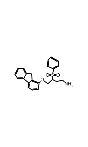 NCCC(COc1cccc2c1Cc1ccccc1-2)S(=O)(=O)c1ccccc1